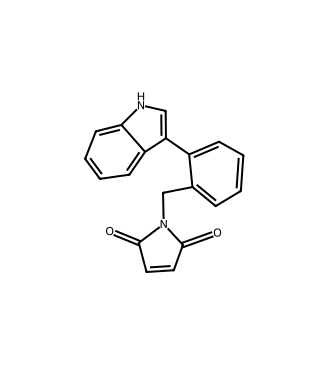 O=C1C=CC(=O)N1Cc1ccccc1-c1c[nH]c2ccccc12